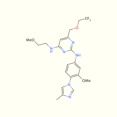 COCCNc1cc(COCC(F)(F)F)nc(Nc2ccc(-n3cnc(C)c3)c(OC)c2)n1